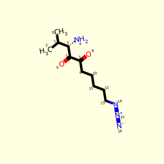 CC(C)[C@H](N)C(=O)C(=O)CCCCCN=[N+]=[N-]